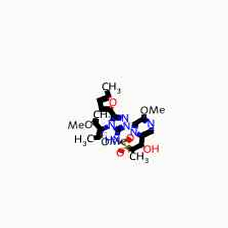 C=C(OC)/C(=C(\C)OC)n1c(NS(=O)(=O)[C@H](C)[C@@H](O)c2cnc(OC)cn2)nnc1-c1ccc(C)o1